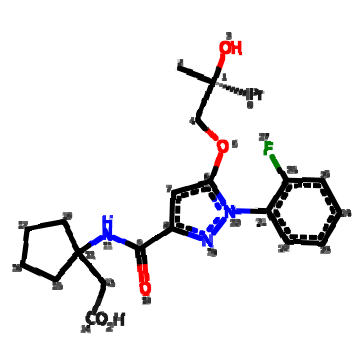 CC(C)[C@](C)(O)COc1cc(C(=O)NC2(CC(=O)O)CCCC2)nn1-c1ccccc1F